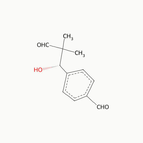 CC(C)(C=O)[C@@H](O)c1ccc(C=O)cc1